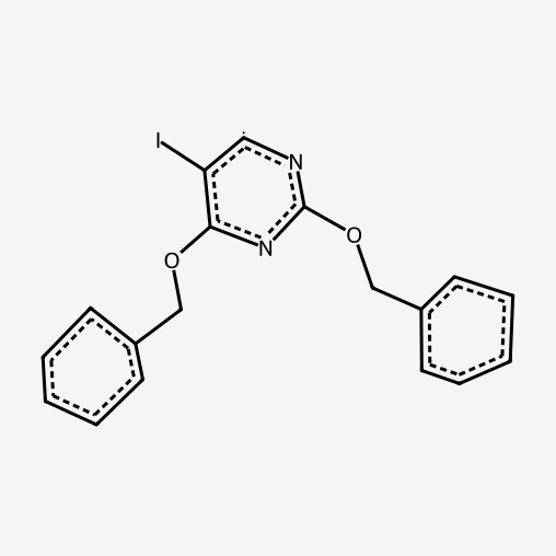 Ic1[c]nc(OCc2ccccc2)nc1OCc1ccccc1